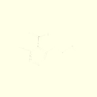 C=CCOc1cccc(C)c1C(=O)CCC